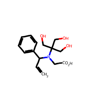 C=CC(c1ccccc1)N(CC(=O)O)C(CO)(CO)CO